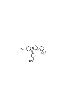 O=C(Nc1nc2ccc(CO)cc2n1C1CCC(CO)CC1)c1cccc(C(F)(F)F)c1